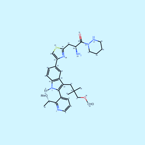 CCn1c(-c2cccnc2[C@H](C)OC)c(CC(C)(C)COC=O)c2cc(-c3csc(C[C@H](N)C(=O)N4CCCCN4)n3)ccc21